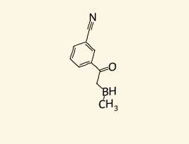 CBCC(=O)c1cccc(C#N)c1